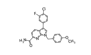 COc1ccc(Cn2cc(-c3ccc(Cl)c(F)c3)c3ccc(C(N)=O)nc32)cc1